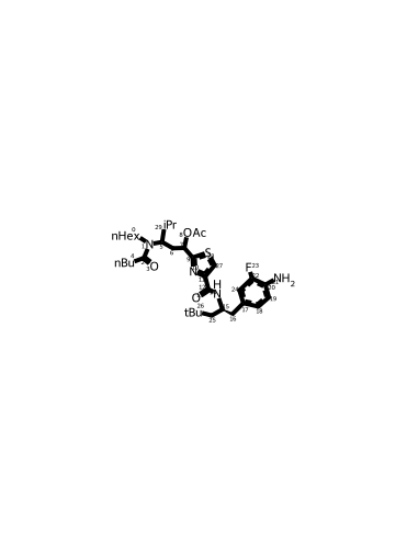 CCCCCCN(C(=O)CCCC)C(CC(OC(C)=O)c1nc(C(=O)N[C@@H](Cc2ccc(N)c(F)c2)CC(C)(C)C)cs1)C(C)C